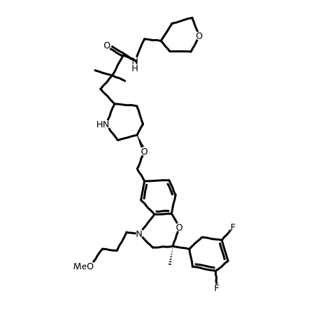 COCCCN1C[C@](C)(C2C=C(F)C=C(F)C2)Oc2ccc(CO[C@@H]3CCC(CC(C)(C)C(=O)NCC4CCOCC4)NC3)cc21